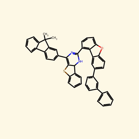 CC1(C)c2ccccc2-c2ccc(C3=C4Sc5ccccc5C4NC(c4cccc5oc6ccc(-c7cccc(-c8ccccc8)c7)cc6c45)=N3)cc21